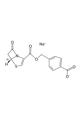 O=C(OCc1ccc(C(=O)[O-])cc1)C1=CS[C@@H]2CC(=O)N12.[Na+]